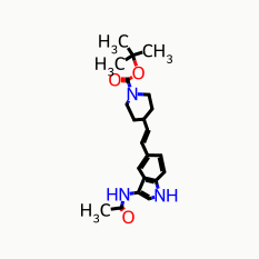 CC(=O)Nc1c[nH]c2ccc(/C=C/C3CCN(C(=O)OC(C)(C)C)CC3)cc12